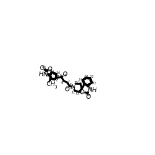 Cc1cc(C(=O)CCC(=O)N2CCC3(CC2)OC(=O)Nc2ccccc23)cc2oc(=O)[nH]c12